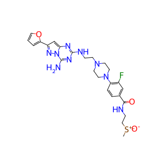 C[S+]([O-])CCNC(=O)c1ccc(N2CCN(CCNc3nc(N)n4nc(-c5ccco5)cc4n3)CC2)c(F)c1